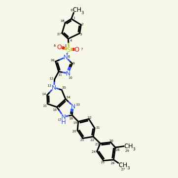 Cc1ccc(S(=O)(=O)n2cnc(CN3C=Cc4[nH]c(-c5ccc(-c6ccc(C)c(C)c6)cc5)nc4C3)c2)cc1